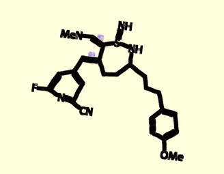 CN/C=C1\C(=C\c2cc(F)nc(C#N)c2)CCC(CCCc2ccc(OC)cc2)NS1=N